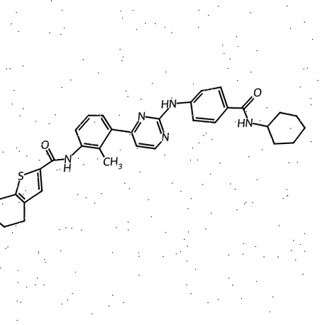 Cc1c(NC(=O)c2cc3c(s2)CCCC3)cccc1-c1ccnc(Nc2ccc(C(=O)NC3CCCCC3)cc2)n1